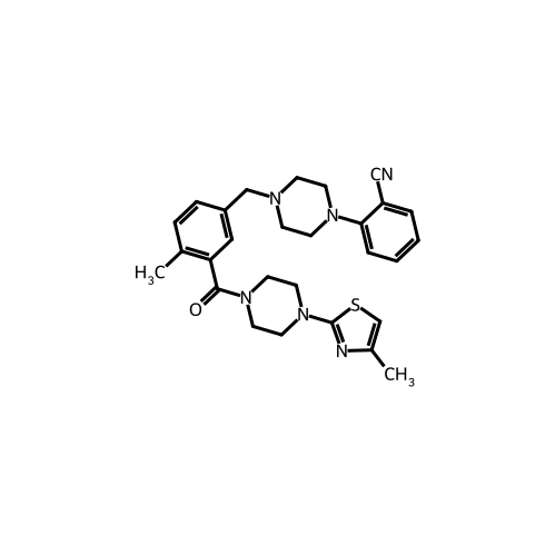 Cc1csc(N2CCN(C(=O)c3cc(CN4CCN(c5ccccc5C#N)CC4)ccc3C)CC2)n1